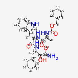 C[C@H](NC(=O)OCc1ccccc1)C(=O)N[C@@H](Cc1c[nH]c2ccccc12)C(=O)NC(Cc1ccccc1)[C@H](O)C(N)=O